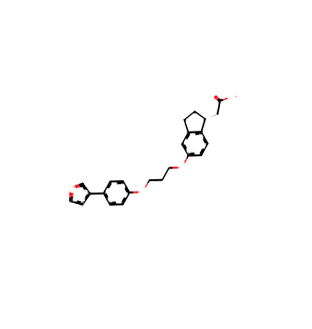 O=C(O)C[C@@H]1CCc2cc(OCCCOc3ccc(-c4ccoc4)cc3)ccc21